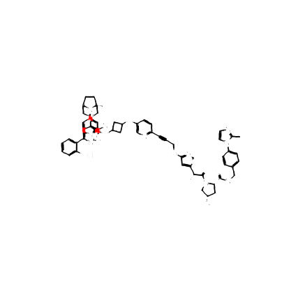 Cc1nccn1-c1ccc([C@H](C)NC(=O)[C@@H]2C[C@@H](O)CN2C(=O)[C@H](c2cc(OCC#Cc3ccc(OC4CC(Oc5cc(N6C7CC[C@@H]6CN(c6cc(-c8ccccc8O)nnc6N)C7)ccn5)C4)cn3)no2)C(C)C)cc1